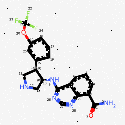 NC(=O)c1cccc2c(N[C@H]3CNC[C@H]3c3cccc(OC(F)(F)F)c3)ncnc12